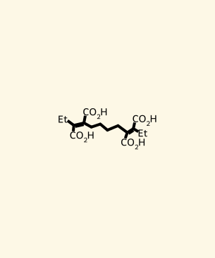 CC/C(C(=O)O)=C(/CCCC/C(C(=O)O)=C(/CC)C(=O)O)C(=O)O